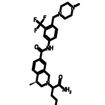 CCCC(C(N)=O)N1Cc2cc(C(=O)Nc3ccc(CN4CCN(C)CC4)c(C(F)(F)F)c3)ccc2[C@@H](C)C1